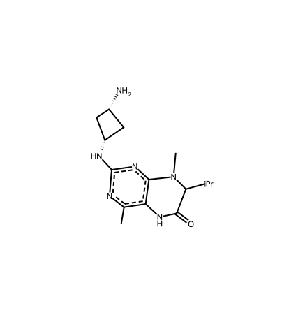 Cc1nc(N[C@H]2C[C@@H](N)C2)nc2c1NC(=O)C(C(C)C)N2C